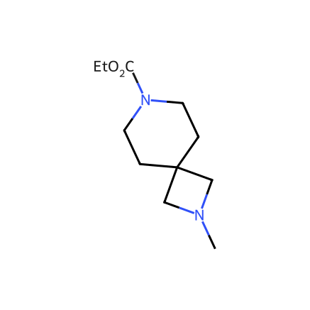 CCOC(=O)N1CCC2(CC1)CN(C)C2